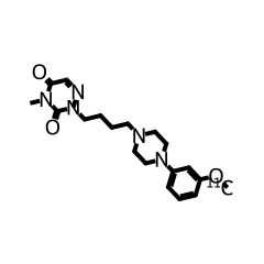 Cn1c(=O)cnn(CCCCN2CCN(c3cccc(O[11CH3])c3)CC2)c1=O